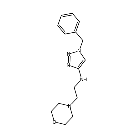 c1ccc(Cn2cc(NCCN3CCOCC3)nn2)cc1